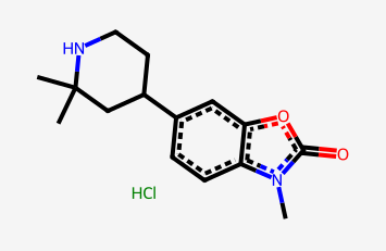 Cl.Cn1c(=O)oc2cc(C3CCNC(C)(C)C3)ccc21